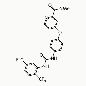 CNC(=O)c1cc(Oc2ccc(NC(=O)Nc3cc(C(F)(F)F)ccc3C(F)(F)F)cc2)ccn1